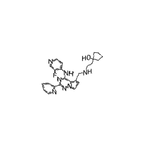 OC1(CCNCc2ccn3nc(-c4ccccn4)nc(Nc4ccncc4F)c23)CCCC1